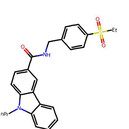 CCCn1c2ccccc2c2cc(C(=O)NCc3ccc(S(=O)(=O)CC)cc3)ccc21